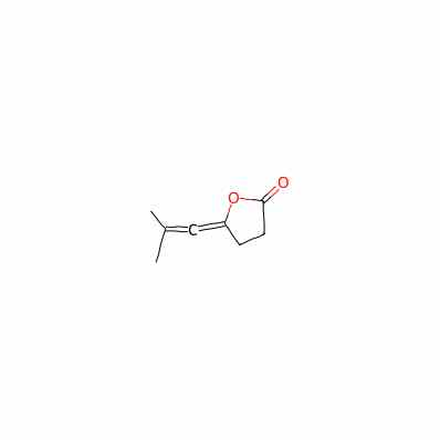 CC(C)=C=C1CCC(=O)O1